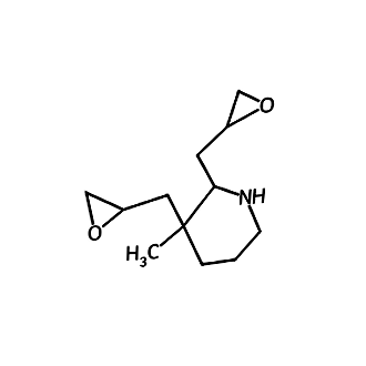 CC1(CC2CO2)CCCNC1CC1CO1